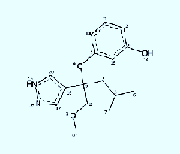 COCC(CC(C)C)(Oc1c[c]cc(O)c1)c1cn[nH]c1